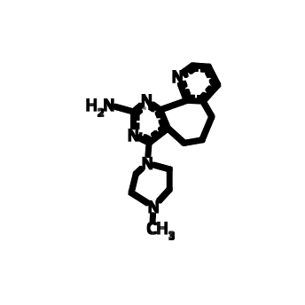 CN1CCN(c2nc(N)nc3c2CCCc2cccnc2-3)CC1